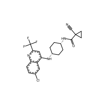 N#CC1(C(=O)N[C@H]2CC[C@@H](Nc3cc(C(F)(F)F)nc4ccc(Cl)cc34)CC2)CC1